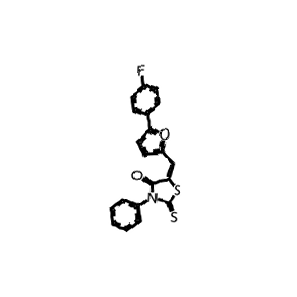 O=C1/C(=C\c2ccc(-c3ccc(F)cc3)o2)SC(=S)N1c1ccccc1